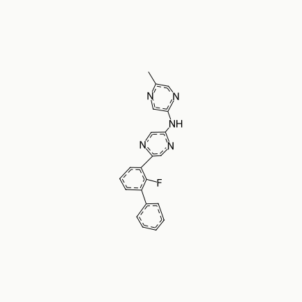 Cc1cnc(Nc2cnc(-c3cccc(-c4ccccc4)c3F)cn2)cn1